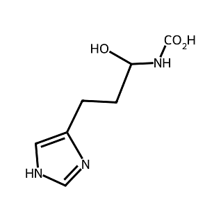 O=C(O)NC(O)CCc1c[nH]cn1